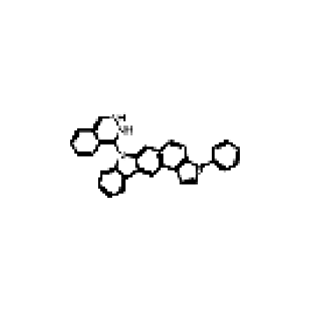 C1=c2ccccc2=C(n2c3ccccc3c3cc4c(ccc5c4ccn5-c4ccccc4)cc32)NN1